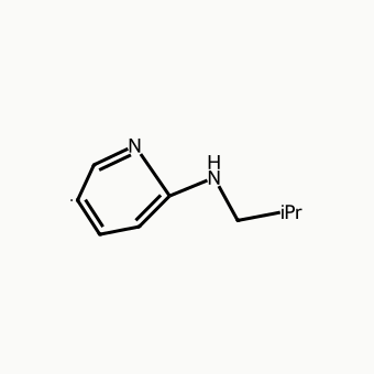 CC(C)CNc1cc[c]cn1